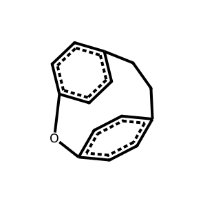 c1cc2ccc1CCc1ccc(cc1)O2